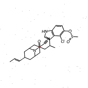 CC=CC1CC2CC(C#N)CC(C1)N2C(=O)CC(C)c1c[nH]c2ccc(OS(C)=O)c(Cl)c12